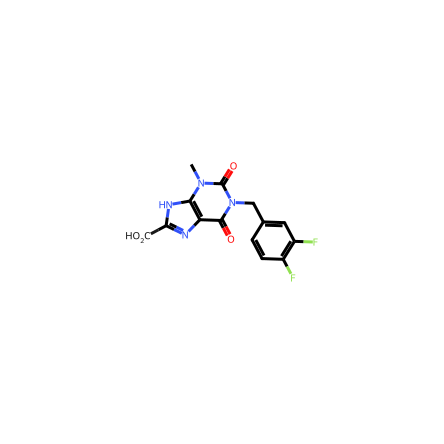 Cn1c(=O)n(Cc2ccc(F)c(F)c2)c(=O)c2nc(C(=O)O)[nH]c21